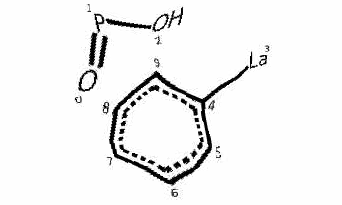 O=PO.[La][c]1ccccc1